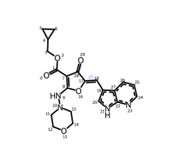 O=C(OCC1CC1)C1=C(NN2CCOCC2)O/C(=C\c2c[nH]c3ncccc23)C1=O